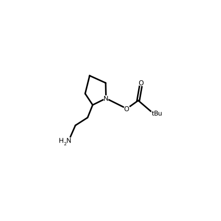 CC(C)(C)C(=O)ON1CCCC1CCN